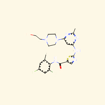 Cc1nc(Nc2ncc(C(=O)Nc3c(C)cc(F)cc3Cl)s2)cc(N2CCN(CCO)CC2)n1